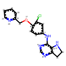 Clc1cc(Nc2ncnc3c2NCC3)ccc1OCc1ccccn1